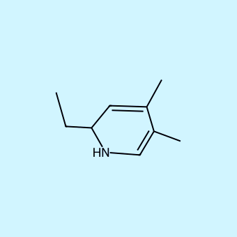 CCC1C=C(C)C(C)=CN1